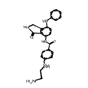 NCCNc1ccc(C(=O)Nc2ccc(Nc3ccccc3)c3c2C(=O)NC3)cc1